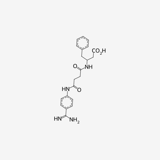 N=C(N)c1ccc(NC(=O)CCC(=O)NC(CC(=O)O)Cc2ccccc2)cc1